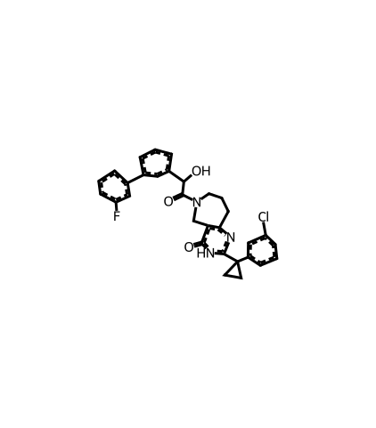 O=C(C(O)c1cccc(-c2cccc(F)c2)c1)N1CCCc2nc(C3(c4cccc(Cl)c4)CC3)[nH]c(=O)c2C1